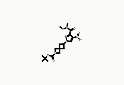 CON(C)C(=O)c1nn(C2CC3(C2)CN(C(=O)OC(C)(C)C)C3)cc1[N+](=O)[O-]